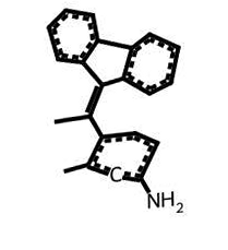 CC(=C1c2ccccc2-c2ccccc21)c1ccc(N)cc1C